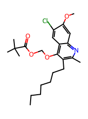 CCCCCCCc1c(C)nc2cc(OC)c(Cl)cc2c1OCOC(=O)C(C)(C)C